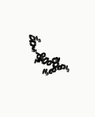 COc1cc2nccc(Oc3ccc(NC(=O)OCCCSc4ccc(C)cc4)cc3)c2cc1OC